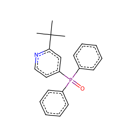 CC(C)(C)c1cc(P(=O)(c2ccccc2)c2ccccc2)ccn1